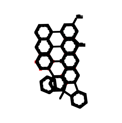 CC(C)(C)c1cc(-c2cccc3cccc(-c4ccccc4N(c4ccc5c(c4)C(C)(c4ccccc4)c4ccccc4-5)c4ccccc4-c4ccccc4-c4ccccc4-c4ccccc4)c23)cc(C(C)(C)C)c1